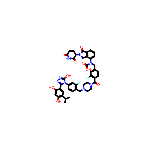 CC(C)c1cc(-c2nnc(O)n2-c2ccc(CN3CCN(C(=O)c4ccc(CN(C(=O)O)c5cccc6c5CN(C5CCC(=O)NC5=O)C6=O)cc4F)CC3)c(F)c2)c(O)cc1O